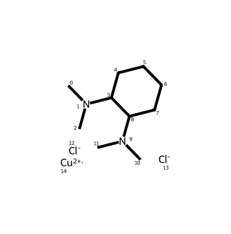 CN(C)C1CCCCC1N(C)C.[Cl-].[Cl-].[Cu+2]